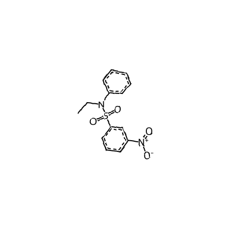 CCN(c1ccccc1)S(=O)(=O)c1cccc([N+](=O)[O-])c1